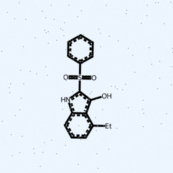 CCc1cccc2[nH]c(S(=O)(=O)c3ccccc3)c(O)c12